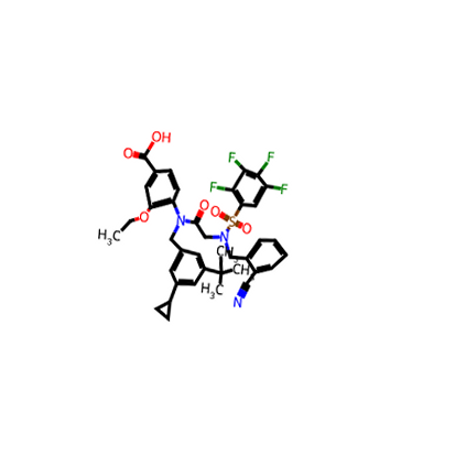 CCOc1cc(C(=O)O)ccc1N(Cc1cc(C2CC2)cc(C(C)(C)C)c1)C(=O)CN(Cc1ccccc1C#N)S(=O)(=O)c1cc(F)c(F)c(F)c1F